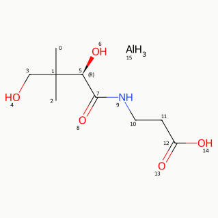 CC(C)(CO)[C@@H](O)C(=O)NCCC(=O)O.[AlH3]